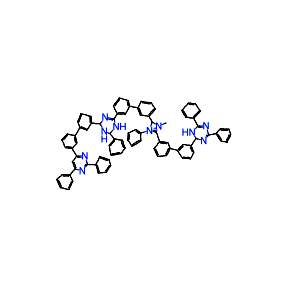 CN1C(c2cccc(-c3cccc(C4N=C(c5ccccc5)N=C(c5ccccc5)N4)c3)c2)=[N+](c2ccccc2)C1c1cccc(-c2cccc(C3=NC(c4cccc(-c5cccc(-c6cc(-c7ccccc7)nc(-c7ccccc7)n6)c5)c4)NC(c4ccccc4)N3)c2)c1